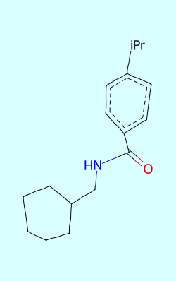 CC(C)c1ccc(C(=O)NCC2CCCCC2)cc1